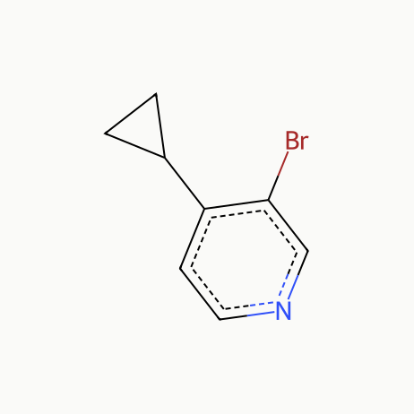 Brc1cnccc1C1CC1